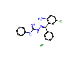 Cl.N=C(N/N=C(\c1ccccc1)c1cc(Cl)ccc1N)Nc1ccccc1